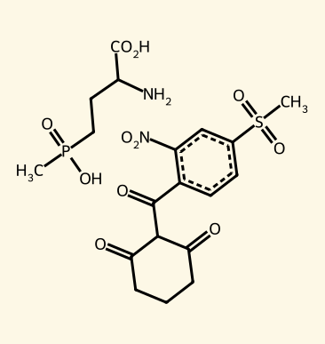 CP(=O)(O)CCC(N)C(=O)O.CS(=O)(=O)c1ccc(C(=O)C2C(=O)CCCC2=O)c([N+](=O)[O-])c1